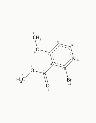 COC(=O)c1c(OC)ccnc1Br